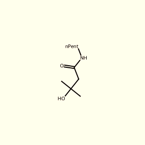 CCCCCNC(=O)CC(C)(C)O